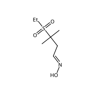 CCS(=O)(=O)C(C)(C)CC=NO